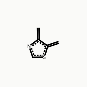 C=c1ncsc1=C